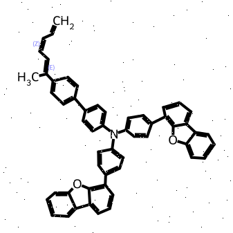 C=C/C=C\C=C(/C)c1ccc(-c2ccc(N(c3ccc(-c4cccc5c4oc4ccccc45)cc3)c3ccc(-c4cccc5c4oc4ccccc45)cc3)cc2)cc1